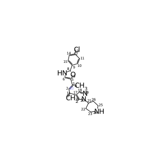 C=C(/C=C(\C)C1=CNC(c2ccc(Cl)cc2)O1)c1cnn(C2CCNCC2)c1